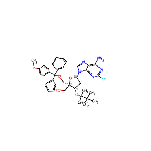 COc1ccc(C(OC[C@]2(CO)O[C@@H](n3cnc4c(N)nc(F)nc43)C[C@@H]2O[Si](C)(C)C(C)(C)C)(c2ccccc2)c2ccccc2)cc1